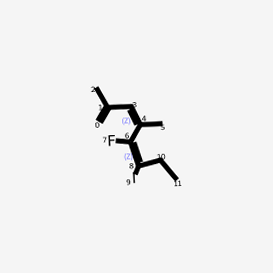 C=C(C)/C=C(C)\C(F)=C(\I)CC